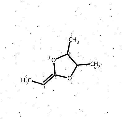 CC=C1OC(C)C(C)O1